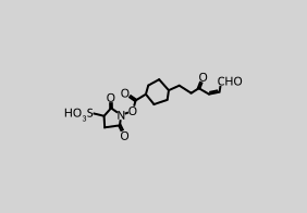 O=C/C=C\C(=O)CCC1CCC(C(=O)ON2C(=O)CC(S(=O)(=O)O)C2=O)CC1